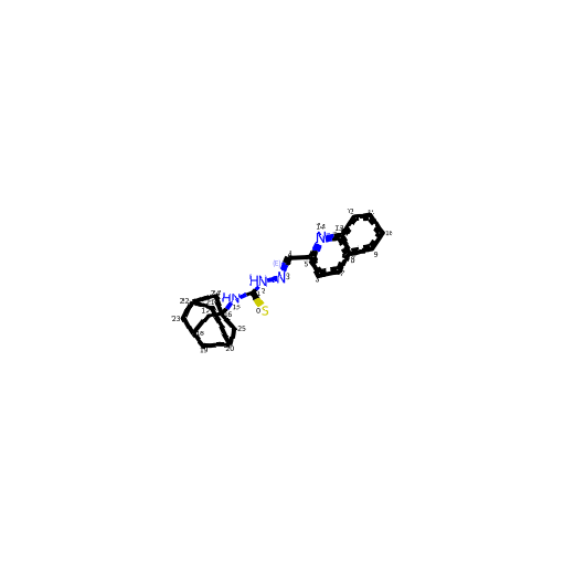 S=C(N/N=C/c1ccc2ccccc2n1)NC12CC3CC(CC(C3)C1)C2